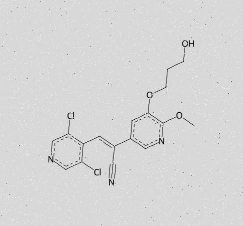 COc1ncc(C(C#N)=Cc2c(Cl)cncc2Cl)cc1OCCCO